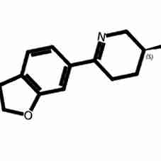 C[C@H]1CCC(c2ccc3c(c2)OCC3)=NC1